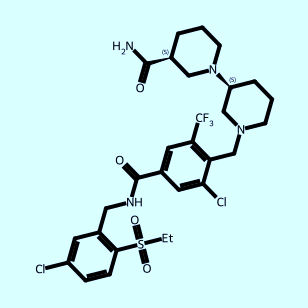 CCS(=O)(=O)c1ccc(Cl)cc1CNC(=O)c1cc(Cl)c(CN2CCC[C@H](N3CCC[C@H](C(N)=O)C3)C2)c(C(F)(F)F)c1